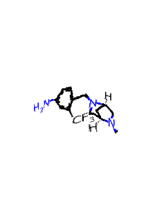 CN1C[C@H]2C[C@@H]1CN2Cc1ccc(N)cc1C(F)(F)F